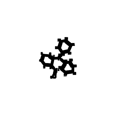 O=Nc1ccccc1P(c1ccccc1)c1ccccc1